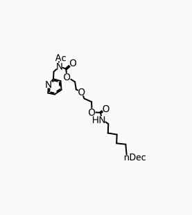 CCCCCCCCCCCCCCCNC(=O)OCCOCCOC(=O)N(Cc1ccccn1)C(C)=O